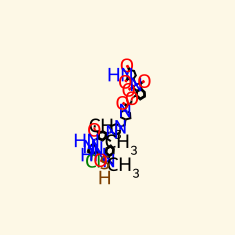 COc1cc(N2CCN(CC3CCN(C(=O)COc4cccc5c4C(=O)N(C4CCC(=O)NC4=O)C5=O)CC3)CC2)c(C)cc1Nc1ncc(Cl)c(Nc2ccccc2N(C)[SH]=O)n1